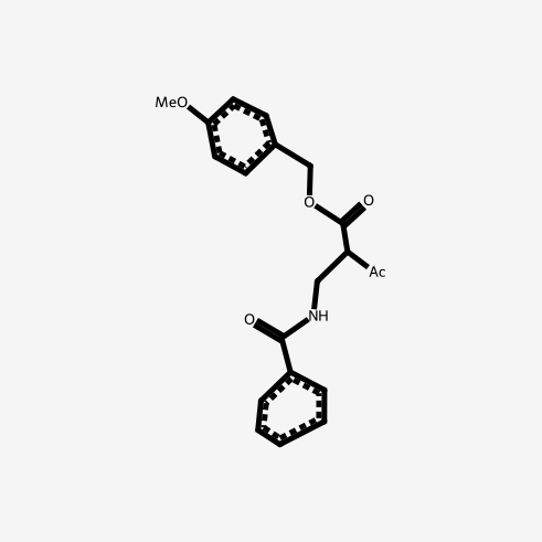 COc1ccc(COC(=O)C(CNC(=O)c2ccccc2)C(C)=O)cc1